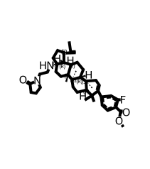 C=C(C)[C@@H]1CC[C@]2(NCCN3CCCC3=O)CC[C@]3(C)[C@H](CC[C@@H]4[C@@]5(C)CC=C(c6ccc(C(=O)OC)c(F)c6)C(C)(C)[C@@H]5CC[C@]43C)[C@@H]12